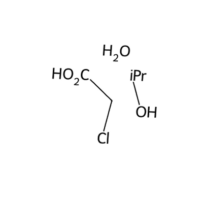 CC(C)O.O.O=C(O)CCl